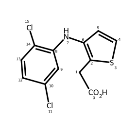 O=C(O)Cc1sccc1Nc1cc(Cl)ccc1Cl